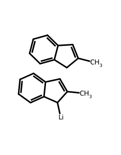 CC1=Cc2ccccc2C1.[Li][CH]1C(C)=Cc2ccccc21